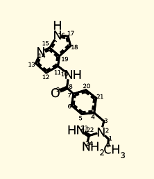 CCN(Cc1ccc(C(=O)Nc2ccnc3[nH]ccc23)cc1)C(=N)N